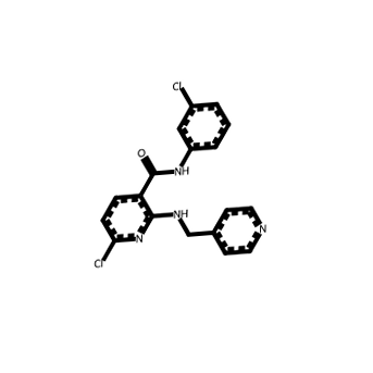 O=C(Nc1cccc(Cl)c1)c1ccc(Cl)nc1NCc1ccncc1